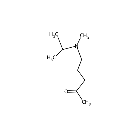 CC(=O)CCCN(C)C(C)C